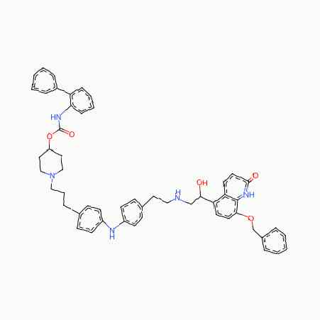 O=C(Nc1ccccc1-c1ccccc1)OC1CCN(CCCc2ccc(Nc3ccc(CCNCC(O)c4ccc(OCc5ccccc5)c5[nH]c(=O)ccc45)cc3)cc2)CC1